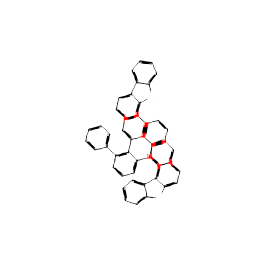 c1ccc(-c2ccccc2-c2c(-c3ccccc3)cccc2N(c2cccc(-c3cccc4c3sc3ccccc34)c2)c2cccc3oc4ccccc4c23)cc1